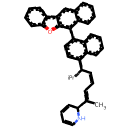 C/C(=C\C=C/C(c1ccc(-c2c3ccccc3cc3c2oc2ccccc23)c2ccccc12)C(C)C)C1C=CC=CN1